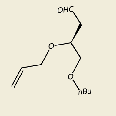 C=CCO[C@@H](CC=O)COCCCC